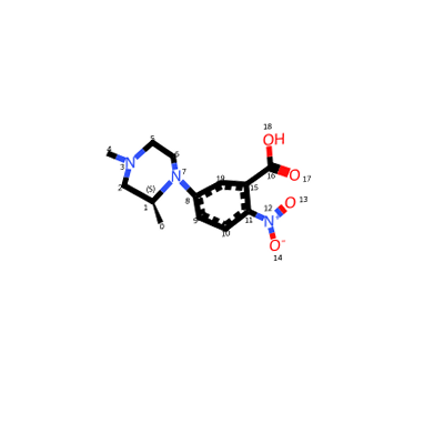 C[C@H]1CN(C)CCN1c1ccc([N+](=O)[O-])c(C(=O)O)c1